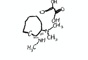 CN[C@@H]1CCCCCC[C@H]1N(C)C.O=C(O)C(=O)O